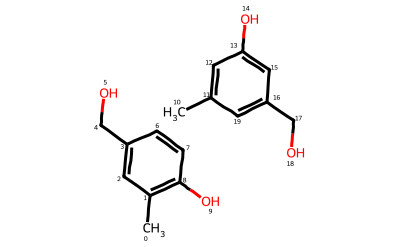 Cc1cc(CO)ccc1O.Cc1cc(O)cc(CO)c1